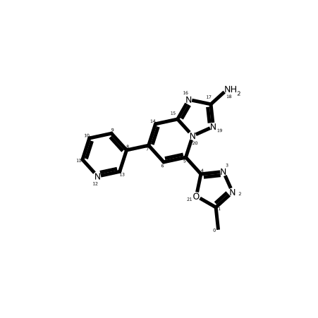 Cc1nnc(-c2cc(-c3cccnc3)cc3nc(N)nn23)o1